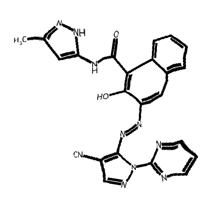 [C-]#[N+]c1cnn(-c2ncccn2)c1/N=N/c1cc2ccccc2c(C(=O)Nc2cc(C)n[nH]2)c1O